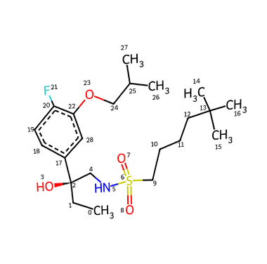 CC[C@@](O)(CNS(=O)(=O)CCCCC(C)(C)C)c1ccc(F)c(OCC(C)C)c1